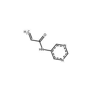 C=CC(=O)Nc1cncnc1